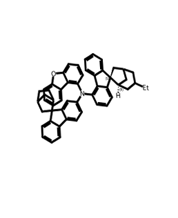 CCC1CC2C[C@@H](C1)[C@@]1(C2)c2ccccc2-c2c(N(c3ccc4c(c3)C3(CC5CCC3C5)c3ccccc3-4)c3cccc4oc5ccccc5c34)cccc21